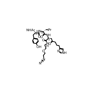 CC(=O)N[C@@H](Cc1ccc(O)cc1)C(=O)N[C@H](CC(C)C)C(=O)N[C@@H](CC(=O)CCCc1c[nH]cn1)C(=O)NCCOCCN=[N+]=[N-]